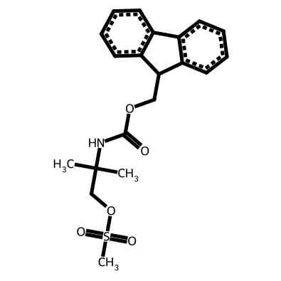 CC(C)(COS(C)(=O)=O)NC(=O)OCC1c2ccccc2-c2ccccc21